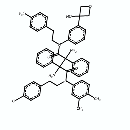 Cc1ccc(N(CCc2ccc(Cl)cc2)C(=O)C(N)(c2ccccc2)C(N)(C(=O)N(CCc2ccc(C(F)(F)F)cc2)c2cccc(C3(O)COC3)c2)c2ccccc2)cc1C